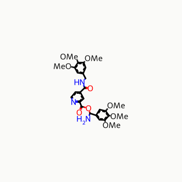 COc1cc(CNC(=O)c2ccnc(C(=O)OC(N)c3cc(OC)c(OC)c(OC)c3)c2)cc(OC)c1OC